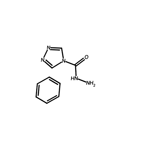 NNC(=O)n1cnnc1.c1ccccc1